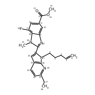 C=CCCCn1c(-c2nc3cc(C(=O)OC)cc(F)c3n2C)cc2ccc(CC)nc21